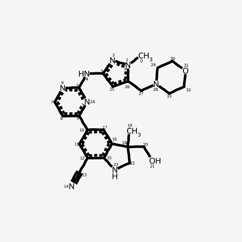 Cn1nc(Nc2nccc(-c3cc(C#N)c4c(c3)C(C)(CO)CN4)n2)cc1CN1CCOCC1